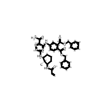 C=CC(=O)NC1CCC[C@@H](Nc2nnc(C(N)=O)c(Nc3ccc(C(=O)OCc4ccccc4)c(C(=O)OCc4ccccc4)c3)n2)[C@H]1C